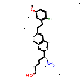 COc1ccc(F)c(CC[C@@H]2CCc3cc([C@H](CN)CCCCO)ccc3C2)c1